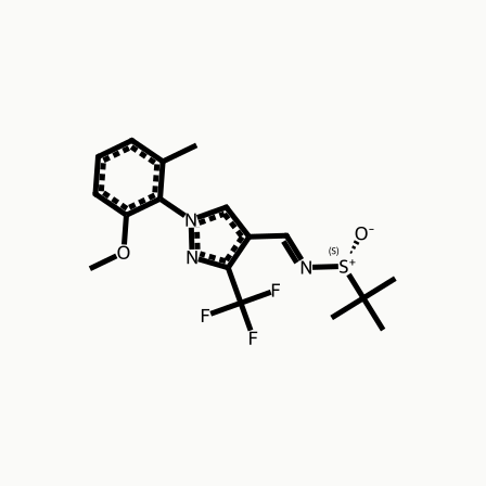 COc1cccc(C)c1-n1cc(C=N[S@+]([O-])C(C)(C)C)c(C(F)(F)F)n1